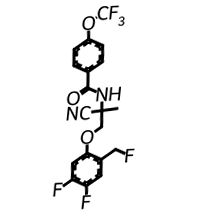 CC(C#N)(COc1cc(F)c(F)cc1CF)NC(=O)c1ccc(OC(F)(F)F)cc1